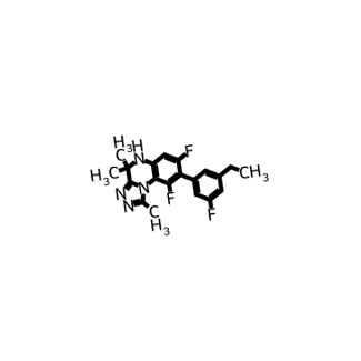 CCc1cc(F)cc(-c2c(F)cc3c(c2F)-n2c(C)nnc2C(C)(C)N3)c1